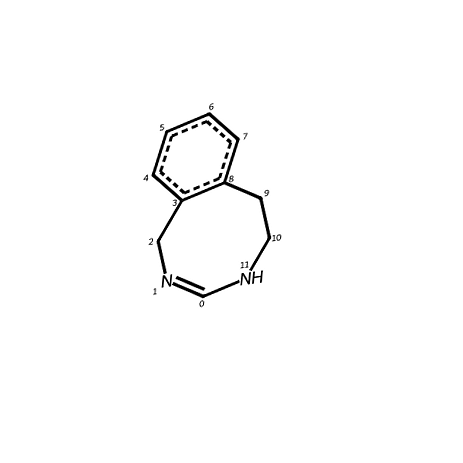 C1=N\Cc2ccccc2CCN/1